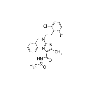 Cc1sc(N(CCc2c(Cl)cccc2Cl)Cc2ccccc2)nc1C(=O)N[S+](C)[O-]